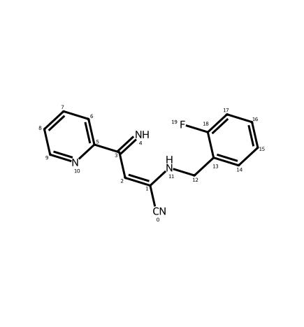 N#C/C(=C/C(=N)c1ccccn1)NCc1ccccc1F